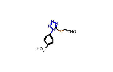 O=CCSc1nnnn1-c1ccc(C(=O)O)cc1